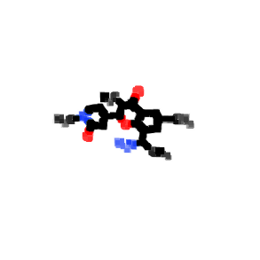 Cc1cc(C(C)N)c2oc(-c3ccn(C)c(=O)c3)c(C)c(=O)c2c1